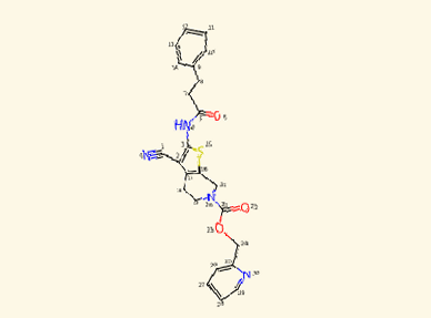 N#Cc1c(NC(=O)CCc2ccccc2)sc2c1CCN(C(=O)OCc1ccccn1)C2